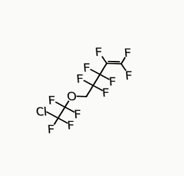 FC(F)=C(F)C(F)(F)C(F)(F)COC(F)(F)C(F)(F)Cl